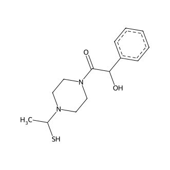 CC(S)N1CCN(C(=O)C(O)c2ccccc2)CC1